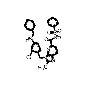 Cc1nc2ccc(C(=O)NS(=O)(=O)c3ccccc3)nc2n1Cc1ccc(NCc2ccccc2)cc1Cl